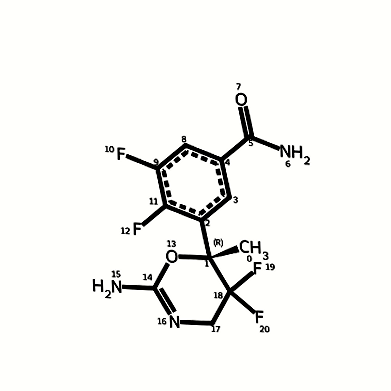 C[C@]1(c2cc(C(N)=O)cc(F)c2F)OC(N)=NCC1(F)F